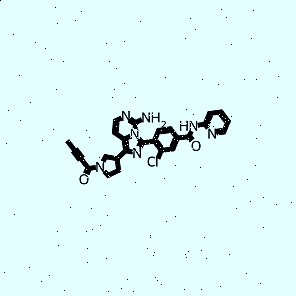 CC#CC(=O)N1CCC(c2nc(-c3ccc(C(=O)Nc4ccccn4)cc3Cl)n3c(N)nccc23)C1